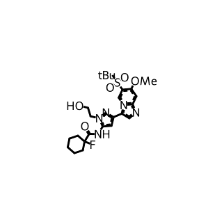 COc1cc2ncc(-c3cc(NC(=O)C4(F)CCCCC4)n(CCO)n3)n2cc1S(=O)(=O)C(C)(C)C